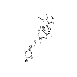 COc1ccccc1C(=O)NC1CCN(CCCOc2ccc(F)cc2)CC1OC